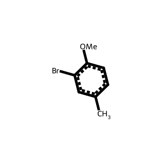 COc1ccc(C)cc1Br